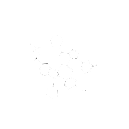 COc1ccc2c(c1)C=C(c1c(C(=O)N3C[C@@H](C)O[C@@H](C)C3)cnn1-c1cc[nH]c(=O)c1)Cn1c-2c(C2CCCCC2)c2ccc(C(=O)NS(=O)(=O)C(C)C)cc21